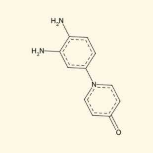 Nc1ccc(-n2ccc(=O)cc2)cc1N